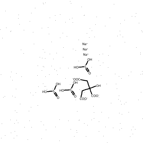 O=C([O-])CC(O)(CC(=O)[O-])C(=O)[O-].O=S(O)O.O=S(O)O.O=S(O)O.[Na+].[Na+].[Na+]